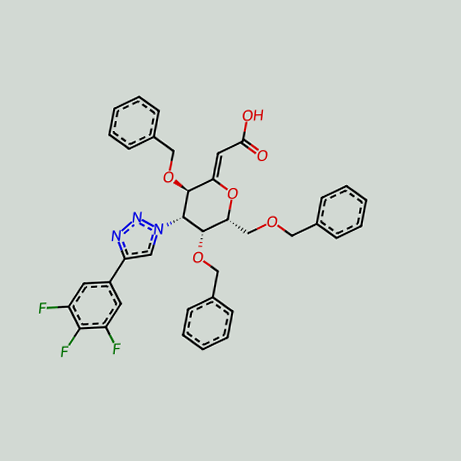 O=C(O)C=C1O[C@H](COCc2ccccc2)[C@H](OCc2ccccc2)[C@H](n2cc(-c3cc(F)c(F)c(F)c3)nn2)[C@H]1OCc1ccccc1